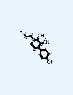 C=C1C(C#N)=C(c2ccc(O)cc2)C=CN1CCC(C)C